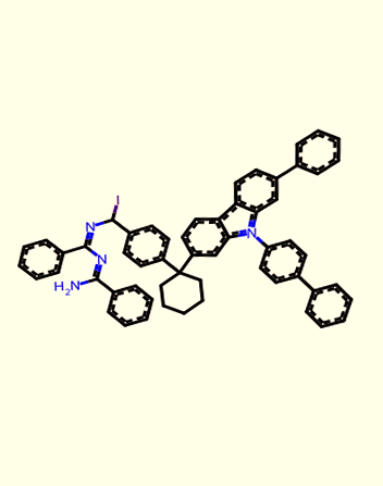 N/C(=N\C(=N/C(I)c1ccc(C2(c3ccc4c5ccc(-c6ccccc6)cc5n(-c5ccc(-c6ccccc6)cc5)c4c3)CCCCC2)cc1)c1ccccc1)c1ccccc1